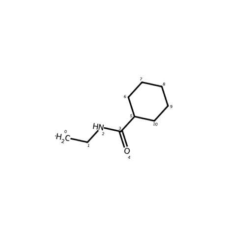 [CH2]CNC(=O)C1CCCCC1